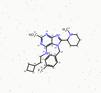 CN1CCCCC1c1nc2nc(C(=O)O)nc(NCCC3CCC3)c2n1Cc1ccc(C(F)(F)F)cc1